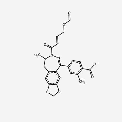 Cc1cc(C2=NN(C(=O)C=CCOC=O)C(C)Cc3cc4c(cc32)OCO4)ccc1[N+](=O)[O-]